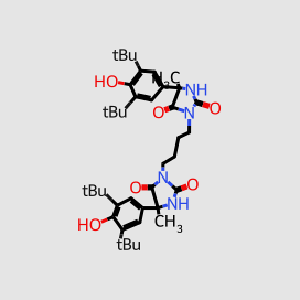 CC(C)(C)c1cc(C2(C)NC(=O)N(CCCCN3C(=O)NC(C)(c4cc(C(C)(C)C)c(O)c(C(C)(C)C)c4)C3=O)C2=O)cc(C(C)(C)C)c1O